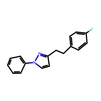 Fc1ccc(CCc2ccn(-c3ccccc3)n2)cc1